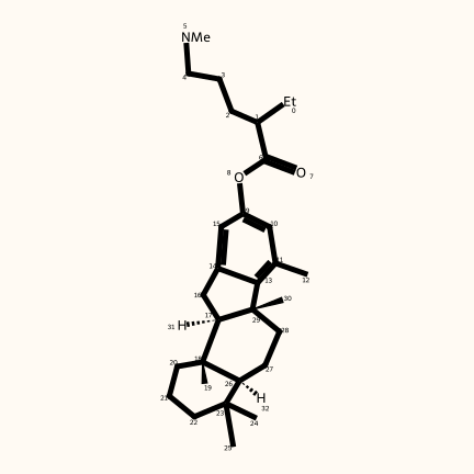 CCC(CCCNC)C(=O)Oc1cc(C)c2c(c1)C[C@@H]1[C@@]3(C)CCCC(C)(C)[C@@H]3CC[C@@]21C